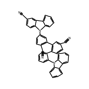 N#Cc1ccc(-c2ccccc2-n2c3ccccc3c3ccccc32)c(-c2cc(-n3c4ccccc4c4cc(C#N)ccc43)ccc2C#N)c1